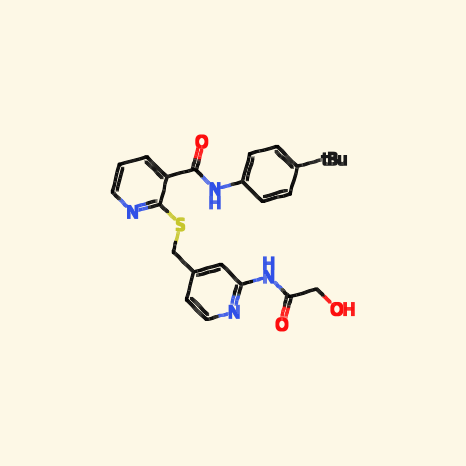 CC(C)(C)c1ccc(NC(=O)c2cccnc2SCc2ccnc(NC(=O)CO)c2)cc1